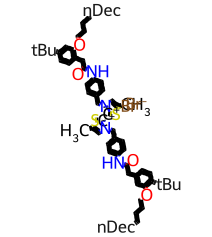 CCCCCCCCCCCCCCOc1cc(C(C)(C)C)ccc1CC(=O)Nc1ccc(Cn2cc(C)s[c+]2-[c+]2sc(C)cn2Cc2ccc(NC(=O)Cc3ccc(C(C)(C)C)c(OCCCCCCCCCCCCCC)c3)cc2)cc1.[Br-].[Br-]